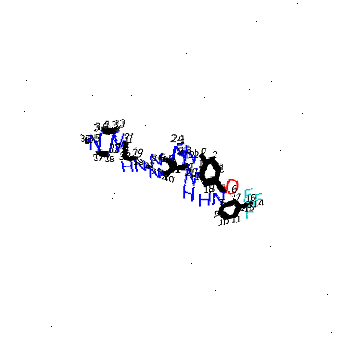 Cc1ccc(C(=O)Nc2cccc(C(F)(F)F)c2)cc1Nc1nn(C)c2nc(NCCCN3CCN(C)CC3)ncc12